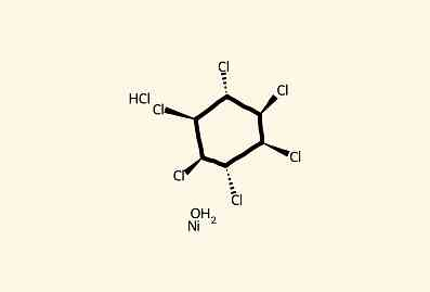 Cl.Cl[C@H]1[C@H](Cl)[C@@H](Cl)[C@@H](Cl)[C@H](Cl)[C@H]1Cl.O.[Ni]